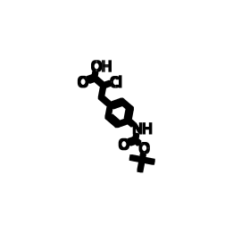 CC(C)(C)OC(=O)Nc1ccc(CC(Cl)C(=O)O)cc1